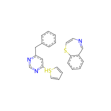 C1=CSc2ccccc2C=N1.C1=C[SH](c2cc(Cc3ccccc3)ncn2)C=C1